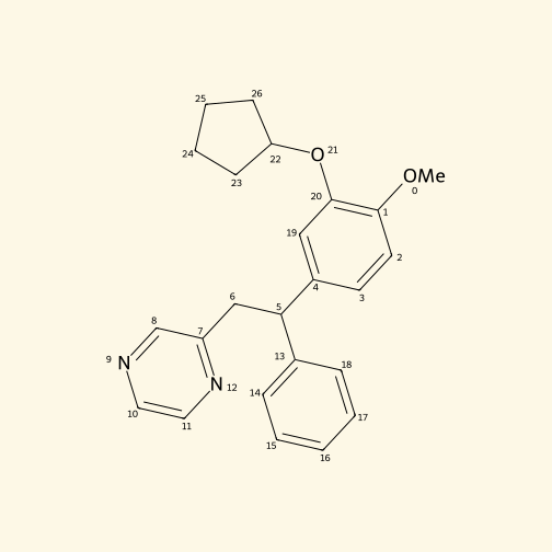 COc1ccc(C(Cc2cnccn2)c2ccccc2)cc1OC1CCCC1